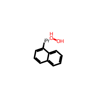 CC(C)c1cccc2ccccc12.OO